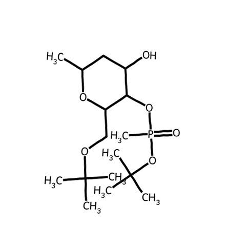 CC1CC(O)C(OP(C)(=O)OC(C)(C)C)C(COC(C)(C)C)O1